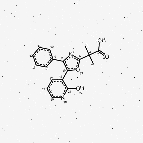 CC(C)(C(=O)O)c1nc(-c2ccccc2)c(-c2cccnc2O)o1